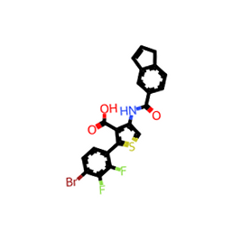 O=C(Nc1csc(-c2ccc(Br)c(F)c2F)c1C(=O)O)c1ccc2c(c1)C=CC2